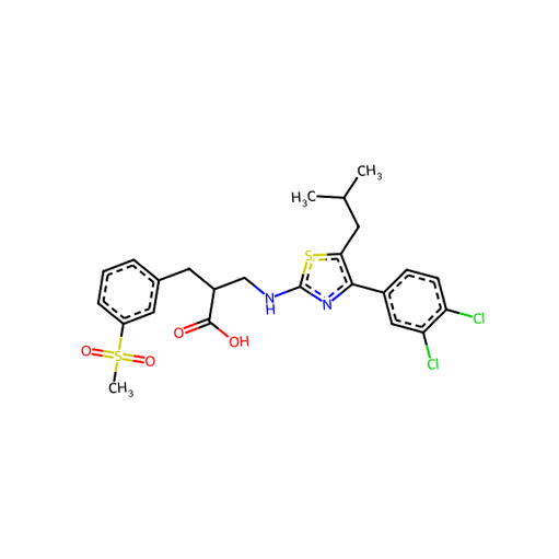 CC(C)Cc1sc(NCC(Cc2cccc(S(C)(=O)=O)c2)C(=O)O)nc1-c1ccc(Cl)c(Cl)c1